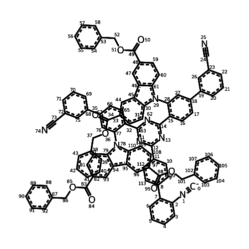 [C-]#[N+]c1ccccc1-c1ccc(-c2nc(-c3ccc(-c4cccc(C#N)c4)cc3-n3c4ccc(C(=O)OCc5ccccc5)cc4c4cc(C(=O)OCc5ccccc5)ccc43)nc(-c3ccc(-c4cccc(C#N)c4)cc3-n3c4ccc(C(=O)OCc5ccccc5)cc4c4cc(C(=O)OCc5ccccc5)ccc43)n2)cc1